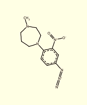 CN1CCCN(c2ccc(N=[N+]=[N-])cc2[N+](=O)[O-])CC1